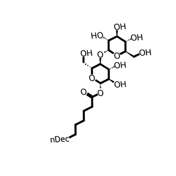 CCCCCCCCCCCCCCCC(=O)O[C@@H]1O[C@H](CO)[C@@H](O[C@H]2O[C@H](CO)[C@@H](O)[C@H](O)[C@H]2O)[C@H](O)[C@H]1O